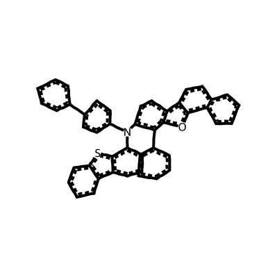 c1ccc(-c2ccc(N(c3ccc4c(oc5c6ccccc6ccc45)c3-c3ccccc3)c3cccc4c3sc3ccccc34)cc2)cc1